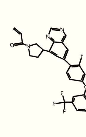 C=CC(=O)N1CCC(c2cc(-c3ccc(Oc4cc(C(F)(F)F)ccn4)cc3F)cc3cncnc23)C1